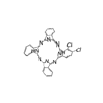 Clc1ccc2c3nc4nc(nc5[nH]c(nc6nc(nc([nH]3)c2c1Cl)-c1ccccc1-6)c1ccccc51)-c1ccccc1-4